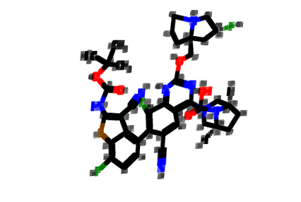 CC(C)(C)OC(=O)Nc1sc2c(F)ccc(-c3c(C#N)cc4c(N5C[C@H]6CC[C@@H](C5)N6C(=O)O)nc(OC[C@@]56CCCN5C[C@H](F)C6)nc4c3F)c2c1C#N